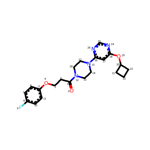 O=C(CCOc1ccc(F)cc1)N1CCN(c2cc(OC3CCC3)ncn2)CC1